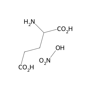 NC(CCC(=O)O)C(=O)O.O=[N+]([O-])O